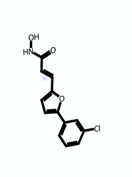 O=C(/C=C/c1ccc(-c2cccc(Cl)c2)o1)NO